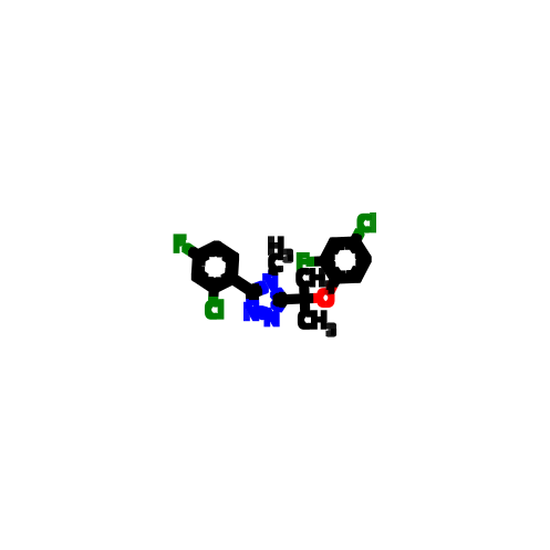 Cn1c(-c2ccc(F)cc2Cl)nnc1C(C)(C)Oc1ccc(Cl)cc1F